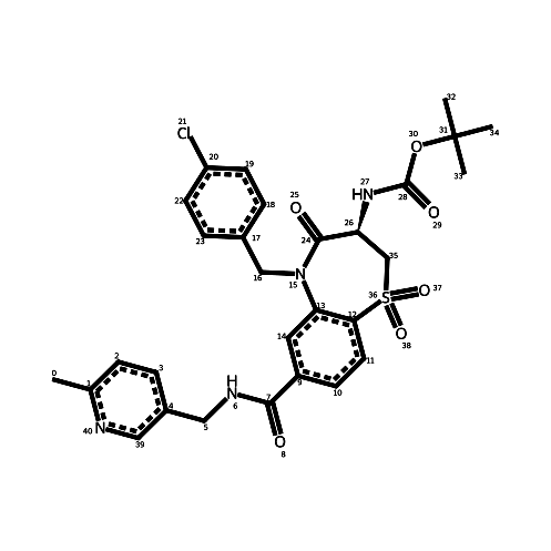 Cc1ccc(CNC(=O)c2ccc3c(c2)N(Cc2ccc(Cl)cc2)C(=O)[C@@H](NC(=O)OC(C)(C)C)CS3(=O)=O)cn1